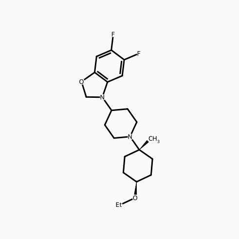 CCO[C@H]1CC[C@](C)(N2CCC(N3COc4cc(F)c(F)cc43)CC2)CC1